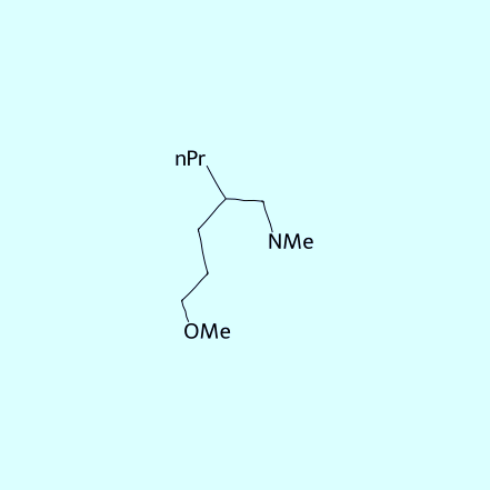 CCCC(CCCOC)CNC